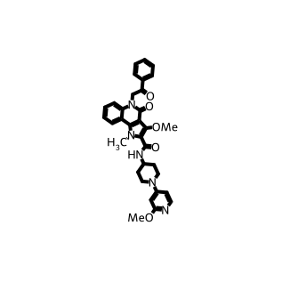 COc1cc(N2CCC(NC(=O)c3c(OC)c4c(=O)n(CC(=O)c5ccccc5)c5ccccc5c4n3C)CC2)ccn1